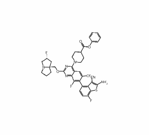 N#Cc1c(N)sc2c(F)ccc(-c3c(C(F)(F)F)cc4c(N5CCC(C(=O)Oc6ccccc6)CC5)nc(OC[C@@]56CCCN5C[C@H](F)C6)nc4c3F)c12